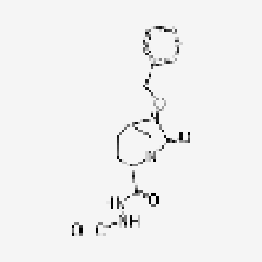 O=CNNC(=O)C1CCC2CN1C(=O)N2OCc1ccccc1